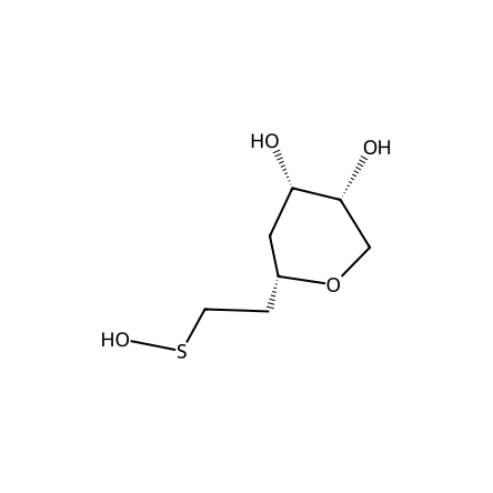 OSCC[C@@H]1C[C@H](O)[C@H](O)CO1